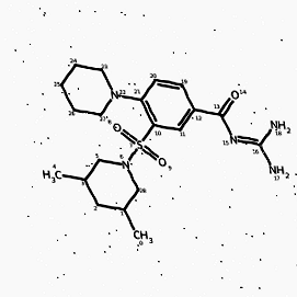 CC1CC(C)CN(S(=O)(=O)c2cc(C(=O)N=C(N)N)ccc2N2CCCCC2)C1